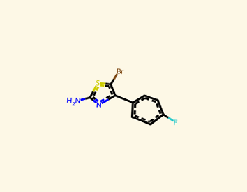 Nc1nc(-c2ccc(F)cc2)c(Br)s1